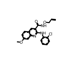 C=CCONC(=O)c1cc2ccc(OC)cc2nc1Nc1ccccc1Cl